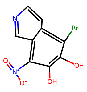 O=[N+]([O-])c1c(O)c(O)c(Br)c2ccncc12